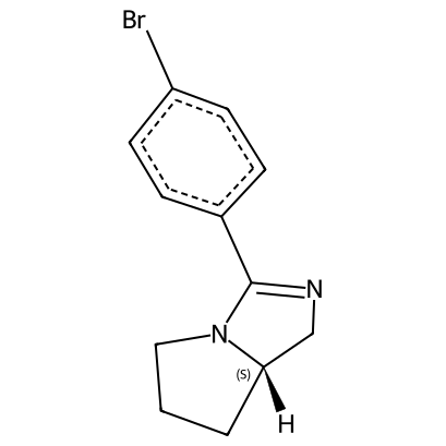 Brc1ccc(C2=NC[C@@H]3CCCN23)cc1